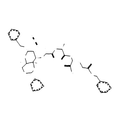 C[C@H](NC(=O)[C@@H](C)O[C@@H]1[C@@H](N=[N+]=[N-])[C@@H](OCc2ccccc2)O[C@@H]2CO[C@@H](c3ccccc3)O[C@@H]12)C(=O)N[C@H](CCC(=O)OCc1ccccc1)C(N)=O